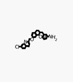 Nc1cccc(CC2CCc3ccc(OCc4ccc5ccc(Cl)cc5n4)cc3C2O)c1